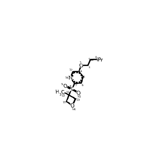 CC(C)CCOc1ccc(S(=O)(=O)C2(C)COC2)nc1